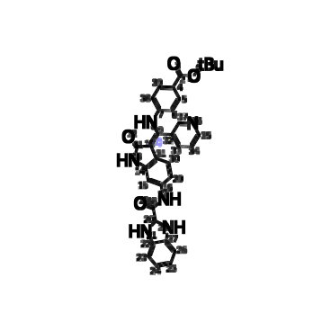 CC(C)(C)OC(=O)c1ccc(N/C(=C2\C(=O)Nc3cc(NC(=O)C4Nc5ccccc5N4)ccc32)c2cccnc2)cc1